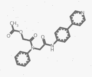 CC(=O)OCC(=O)N(CC(=O)Nc1ccc(-c2ccncc2)cc1)c1ccccc1